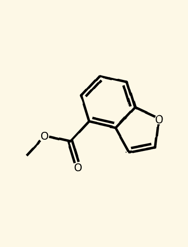 COC(=O)c1cccc2oc[c]c12